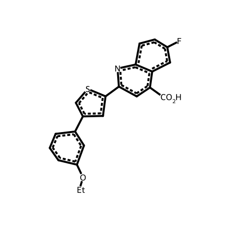 CCOc1cccc(-c2csc(-c3cc(C(=O)O)c4cc(F)ccc4n3)c2)c1